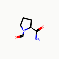 NC(=O)[C@@H]1CCCN1C=O